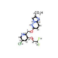 O=C(O)c1cn2nc(OCc3ncc(Cl)cc3OCC(F)F)ccc2n1